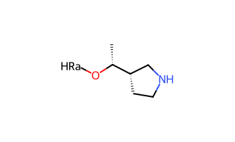 C[C@@H]([O][RaH])[C@H]1CCNC1